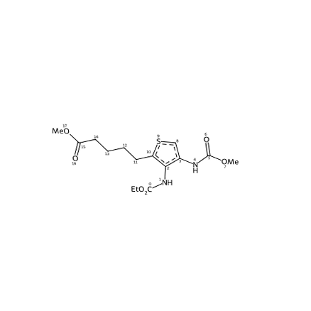 CCOC(=O)Nc1c(NC(=O)OC)csc1CCCCC(=O)OC